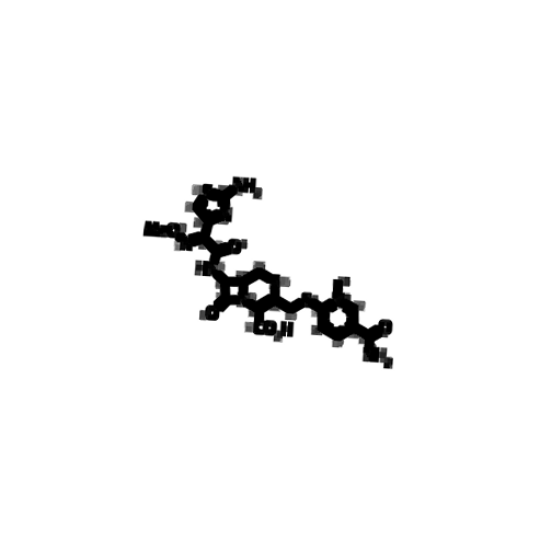 CON=C(C(=O)NC1C(=O)N2C(C(=O)O)=C(CSc3ccc(C(N)=O)c[n+]3C)SCC12)c1csc(N)n1